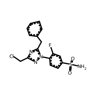 NS(=O)(=O)c1ccc(-n2nc(CCl)nc2Cc2ccccc2)c(F)c1